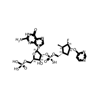 C[C@@H]1[C@@H](COP(=O)(S)O[C@@H]2[C@H](O)[C@@H](COP(=O)(O)S)O[C@H]2n2cnc3c(=O)[nH]c(N)nc32)C[C@@H](Oc2ccncn2)[C@@H]1F